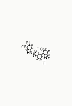 CCC(O)(c1ccc(OC(=O)Nc2ccc(Cl)c(Cl)c2)cc1)c1cccc(C(F)(F)F)c1